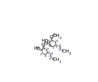 C/C=C/c1ccc(O)c(OC)c1.C/C=C/c1ccc(O)c(OC)c1